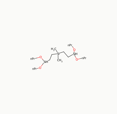 CCCO[SiH](CC[Si](C)(C)CC[SiH](OCCC)OCCC)OCCC